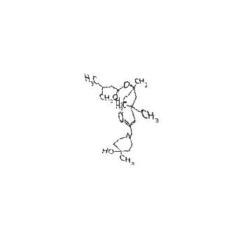 CC(C)CC(=O)OC(C)(C)CC(C)(C)CC(=O)N1CCC(C)(O)CC1